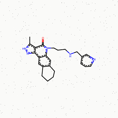 Cc1[nH]nc2c1c(=O)n(CCCNCc1cccnc1)c1cc3c(cc21)CCCC3